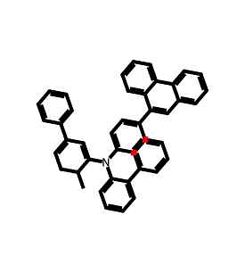 CC1CC=C(c2ccccc2)C=C1N(c1ccc(-c2cc3ccccc3c3ccccc23)cc1)c1ccccc1-c1ccccc1